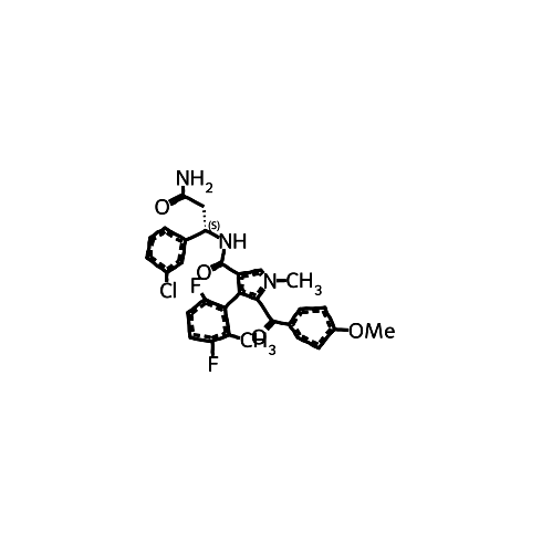 COc1ccc(C(=O)c2c(-c3c(F)ccc(F)c3C)c(C(=O)N[C@@H](CC(N)=O)c3cccc(Cl)c3)cn2C)cc1